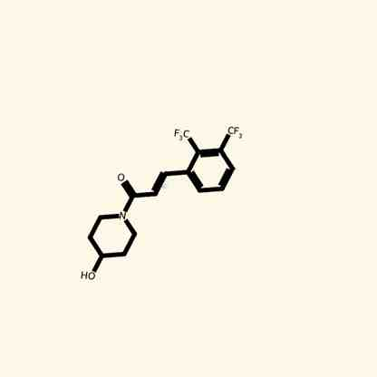 O=C(/C=C/c1cc[c]c(C(F)(F)F)c1C(F)(F)F)N1CCC(O)CC1